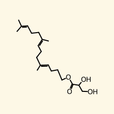 CC(C)=CCCC(C)=CCCC(C)=CCCCOC(=O)C(O)CO